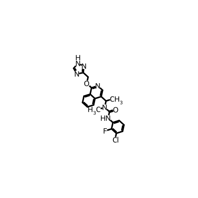 CC(c1cnc(OCc2nc[nH]n2)c2ccccc12)N(C)C(=O)Nc1cccc(Cl)c1F